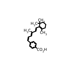 CC1=C(/C=C/C(C)=C/C=C\c2ccc(C(=O)O)cc2)C(C)(C)CCC1